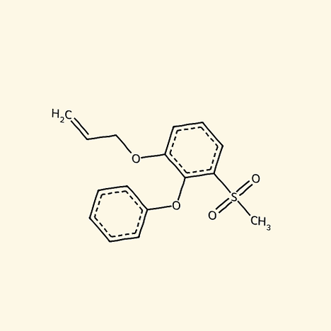 C=CCOc1cccc(S(C)(=O)=O)c1Oc1ccccc1